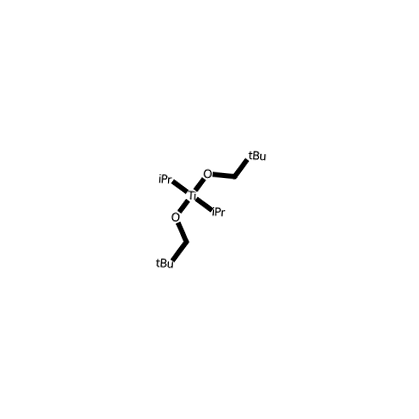 C[CH](C)[Ti]([O]CC(C)(C)C)([O]CC(C)(C)C)[CH](C)C